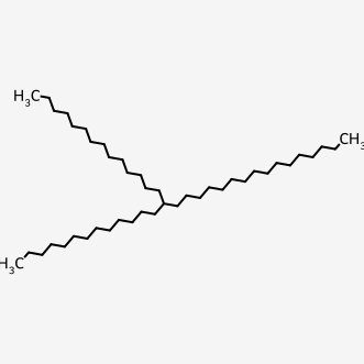 CCCCCCCCCCCCCCCCC(CCCCCCCCCCCCC)CCCCCCCCCCCCCC